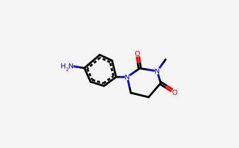 CN1C(=O)CCN(c2ccc(N)cc2)C1=O